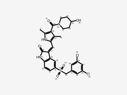 Cc1[nH]c(/C=C2\C(=O)Nc3ccc(S(=O)(=O)Cc4cc(Cl)cc(Cl)c4)cc32)c(C)c1C(=O)N1CCC(O)CC1